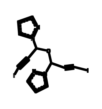 IC#CC(OC(C#CI)n1cccn1)n1cccn1